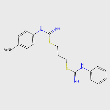 CC(=O)Nc1ccc(NC(=N)SCCCSC(=N)Nc2ccccc2)cc1